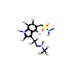 [2H]c1c(CS(=O)(=O)N([2H])C)c([2H])c2c(C([2H])([2H])CN(C)C([2H])([2H])[2H])c([2H])n([2H])c2c1[2H]